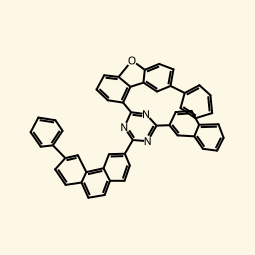 c1ccc(-c2ccc3ccc4ccc(-c5nc(-c6ccc7ccccc7c6)nc(-c6cccc7oc8ccc(-c9ccccc9)cc8c67)n5)cc4c3c2)cc1